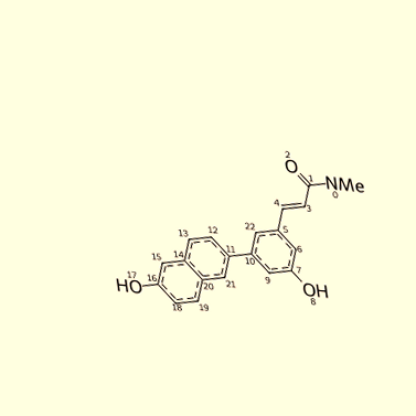 CNC(=O)/C=C/c1cc(O)cc(-c2ccc3cc(O)ccc3c2)c1